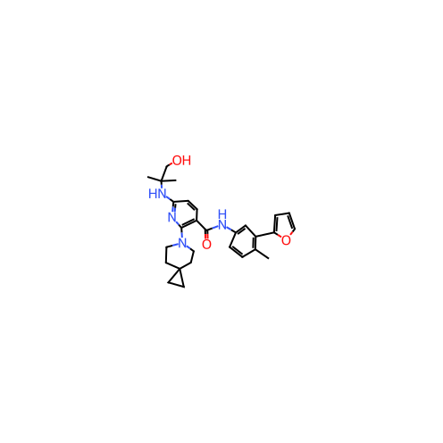 Cc1ccc(NC(=O)c2ccc(NC(C)(C)CO)nc2N2CCC3(CC2)CC3)cc1-c1ccco1